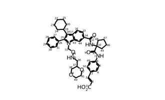 O=C(O)/C=C/c1ccc(NC(=O)C2(NC(=O)c3ccc4c(C5CCCCC5)c(-c5ccccc5)n(CONCC5COCCO5)c4c3)CCCC2)cc1